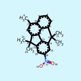 Cc1cc2c3c4c(cccc14)C(C)(C)c1cc([N+](=O)[O-])cc(c1-3)C2(C)C